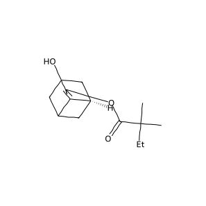 CCC(C)(C)C(=O)OC1=C2C3C[C@@H]2CC(O)(C1)C3